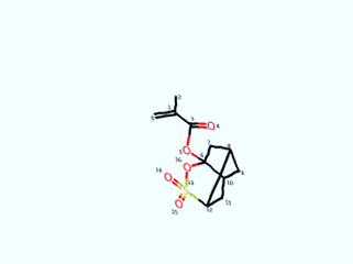 C=C(C)C(=O)OC12CC3CC1CC3S(=O)(=O)O2